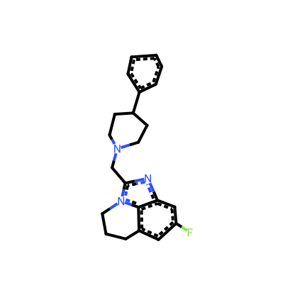 Fc1cc2c3c(c1)nc(CN1CCC(c4ccccc4)CC1)n3CCC2